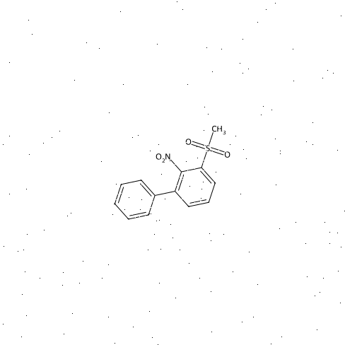 CS(=O)(=O)c1cccc(-c2ccccc2)c1[N+](=O)[O-]